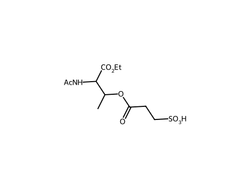 CCOC(=O)C(NC(C)=O)C(C)OC(=O)CCS(=O)(=O)O